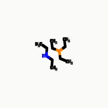 CCNCC.CCP(CC)CC